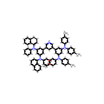 Cc1ccc(N(c2ccc(C)cc2)c2cc(-c3cncc(-c4cc(N(C5=CCCc6ccccc65)c5ccccc5)cc(N(c5ccccc5)c5cccc6ccccc56)c4)c3)cc(N(c3ccc(C)cc3)c3ccc(C)cc3)c2)cc1